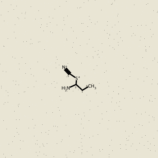 CCC(N)SC#N